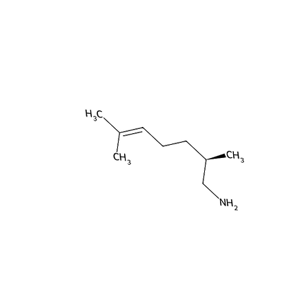 CC(C)=CCC[C@@H](C)CN